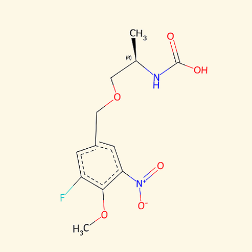 COc1c(F)cc(COC[C@@H](C)NC(=O)O)cc1[N+](=O)[O-]